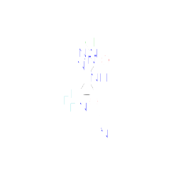 CO[C@@H](C)c1c(Nc2ccc([C@@H](N(C)C(=O)C3CC(C#N)C3)C(F)(F)F)cc2)cnc2nc(Cl)nn12